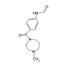 CN1CCCN(C(=O)c2ccc(NC=O)cc2)CC1